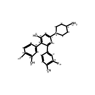 N#Cc1ccc(-c2nc(N3CCC(N)CC3)cc(O)c2-c2ccc(F)c(O)c2)cc1F